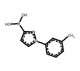 Cc1cccc(-n2ccc(B(O)O)n2)c1